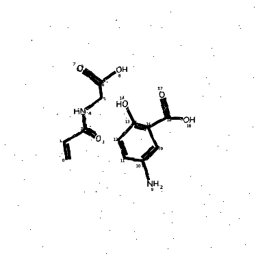 C=CC(=O)NCC(=O)O.Nc1ccc(O)c(C(=O)O)c1